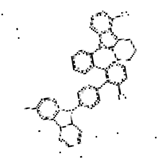 Cc1ccc2c(c1)C1C=CC=CC1N2c1ccc(-c2c(C#N)cccc2-c2ccccc2-n2c3c(c4c(C#N)cccc42)CCCC3)cc1